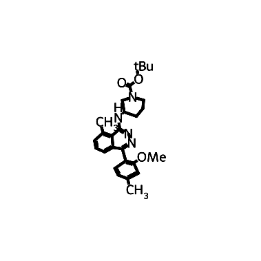 COc1cc(C)ccc1-c1nnc(N[C@@H]2CCCN(C(=O)OC(C)(C)C)C2)c2c(C)cccc12